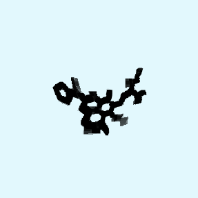 C=C(C)\C(=C/C=C(C)/C(N)=C(\NC(=C/C)/N=C(\C=C\CC)NC1CCCC1)C(C)=N)NC=O